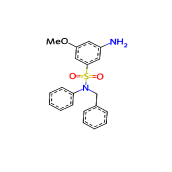 COc1cc(N)cc(S(=O)(=O)N(Cc2ccccc2)c2ccccc2)c1